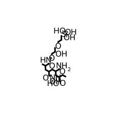 CCC(CC(CC(CC(C)C(=O)NOCC(O)COCCC[Si](O)(O)O)C(=O)NO)C(N)=O)C(=O)O